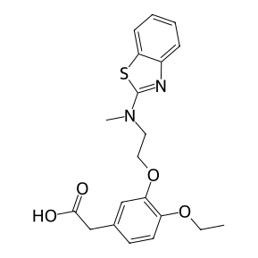 CCOc1ccc(CC(=O)O)cc1OCCN(C)c1nc2ccccc2s1